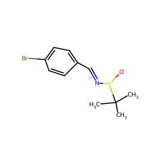 CC(C)(C)[S+]([O-])/N=C/c1ccc(Br)cc1